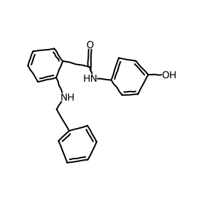 O=C(Nc1ccc(O)cc1)c1ccccc1NCc1ccccc1